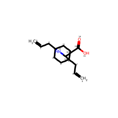 C=CCC12CCC(CC=C)(CC1)C(C(=O)O)N2